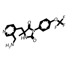 CC1(Cc2ccncc2CN)NC(=O)N(c2ccc(OC(F)(F)F)cc2)C1=O